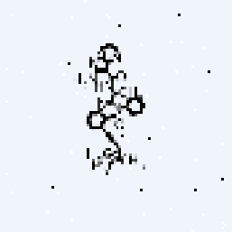 C[C@H](NC(=O)c1c(N)nn2cccnc12)c1nc2cccc(C#CC[Si](C)(C)C)c2c(=O)n1-c1ccccc1